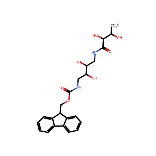 O=C(NCC(O)C(O)CNC(=O)C(O)C(O)C(=O)O)OCC1c2ccccc2-c2ccccc21